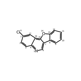 Clc1ccc2ncc3c4ccccc4oc3c2c1